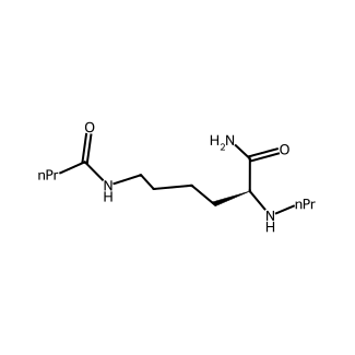 CCCN[C@@H](CCCCNC(=O)CCC)C(N)=O